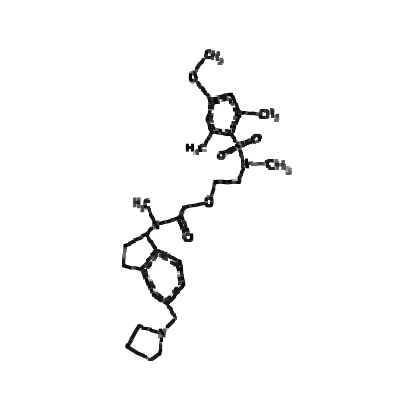 COc1cc(C)c(S(=O)(=O)N(C)CCOCC(=O)N(C)C2CCc3cc(CN4CCCC4)ccc32)c(C)c1